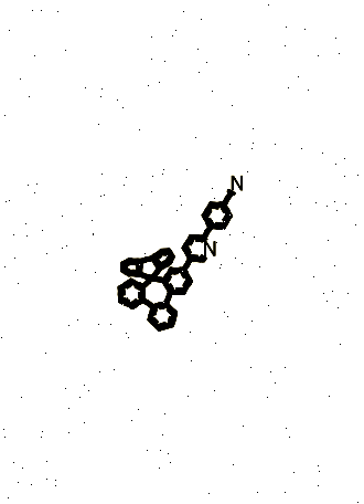 N#Cc1ccc(-c2ccc(-c3ccc4c(c3)C3(c5ccccc5-c5ccccc5-4)c4ccccc4-c4ccccc43)cn2)cc1